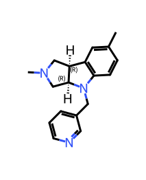 Cc1ccc2c(c1)[C@@H]1CN(C)C[C@@H]1N2Cc1cccnc1